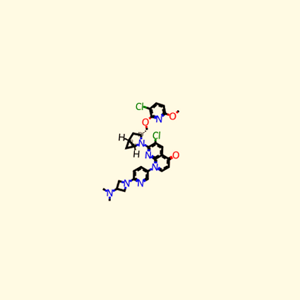 COc1ccc(Cl)c(OC[C@H]2C[C@H]3C[C@H]3N2c2nc3c(cc2Cl)c(=O)ccn3-c2ccc(N3CC(N(C)C)C3)nc2)n1